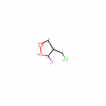 ClCC1COOC1I